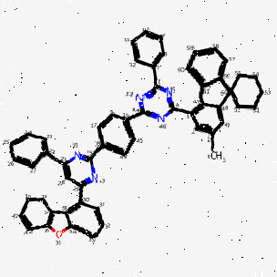 Cc1cc(-c2nc(-c3ccccc3)nc(-c3ccc(-c4nc(-c5ccccc5)cc(-c5cccc6oc7c(c56)CCC=C7)n4)cc3)n2)c2c(c1)C1(CCCCC1)c1ccccc1-2